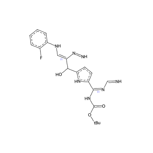 CC(C)(C)OC(=O)N/C(=N/C=N)c1ccc(C(O)/C(=C/Nc2ccccc2F)N=N)[nH]1